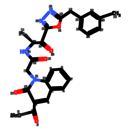 COC(=O)c1cc2ccccc2n(CC(=O)N[C@H](C(=O)c2nnc(Cc3cccc(C)c3)o2)C(C)C)c1=O